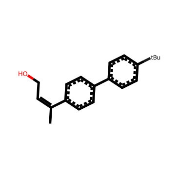 C/C(=C/CO)c1ccc(-c2ccc(C(C)(C)C)cc2)cc1